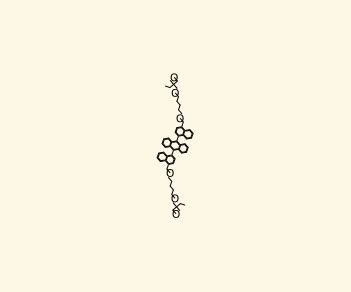 CCC1(COCCCCCOCc2ccc(-c3c4ccccc4c(-c4ccc(COCCCCCOCC5(CC)COC5)c5ccccc45)c4ccccc34)c3ccccc23)COC1